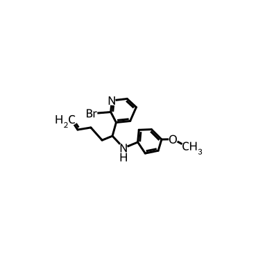 C=CCCC(Nc1ccc(OC)cc1)c1cccnc1Br